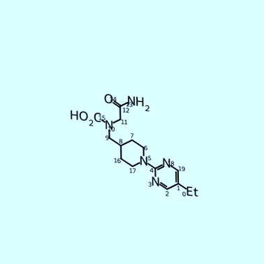 CCc1cnc(N2CCC(CN(CC(N)=O)C(=O)O)CC2)nc1